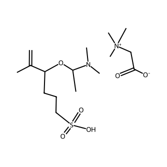 C=C(C)C(CCCS(=O)(=O)O)OC(C)N(C)C.C[N+](C)(C)CC(=O)[O-]